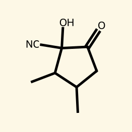 CC1CC(=O)C(O)(C#N)C1C